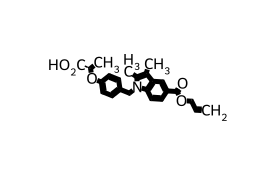 C=CCOC(=O)c1ccc2c(c1)c(C)c(C)n2Cc1ccc(O[C@@H](C)C(=O)O)cc1